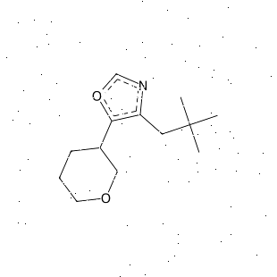 CC(C)(C)Cc1ncoc1C1CCCOC1